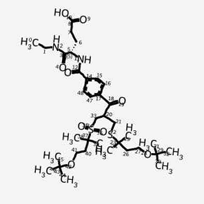 CCNC(=O)[C@H](CCC(=O)O)NC(=O)c1ccc(C(=O)C(CSC(C)(C)CCOC(C)(C)C)CS(=O)(=O)C(C)(C)CCOC(C)(C)C)cc1